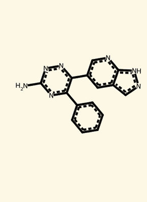 Nc1nnc(-c2cnc3[nH]ncc3c2)c(-c2ccccc2)n1